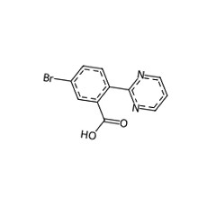 O=C(O)c1cc(Br)ccc1-c1ncccn1